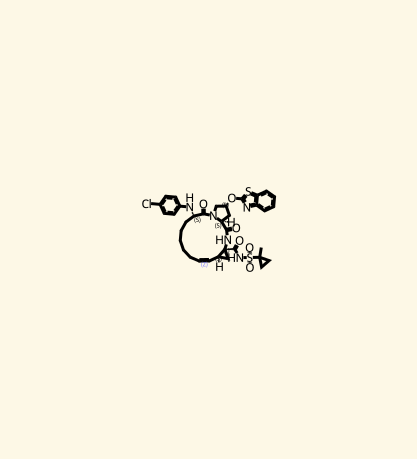 CC1(S(=O)(=O)NC(=O)[C@@]23C[C@H]2/C=C\CCCCC[C@H](Nc2ccc(Cl)cc2)C(=O)N2C[C@H](Oc4nc5ccccc5s4)C[C@H]2C(=O)N3)CC1